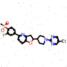 CCc1cnc(N2CCC(C3Cc4nc(-c5ccc(S(C)(=O)=O)c(F)c5)ccc4O3)CC2)nc1